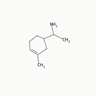 CC1=CCCC(C(C)N)C1